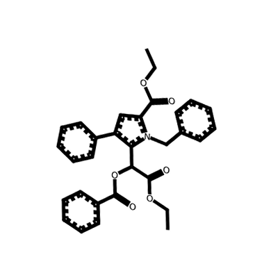 CCOC(=O)c1cc(-c2ccccc2)c(C(OC(=O)c2ccccc2)C(=O)OCC)n1Cc1ccccc1